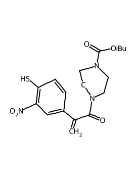 C=C(C(=O)N1CCN(C(=O)OCC(C)C)CC1)c1ccc(S)c([N+](=O)[O-])c1